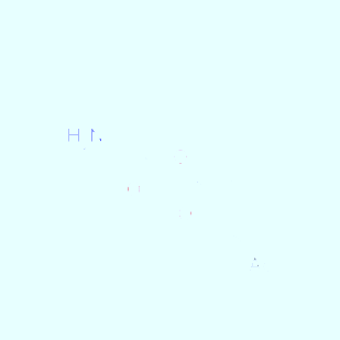 CC(=O)SCC(Cc1ccccc1)C(=O)OC(=O)CN